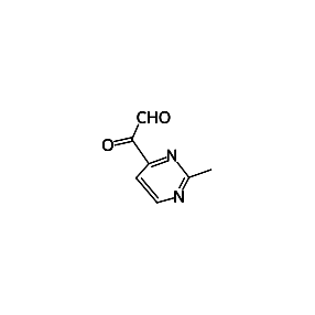 Cc1nccc(C(=O)C=O)n1